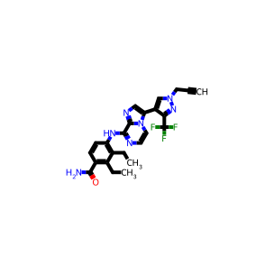 C#CCn1cc(-c2cnc3c(Nc4ccc(C(N)=O)c(CC)c4CC)nccn23)c(C(F)(F)F)n1